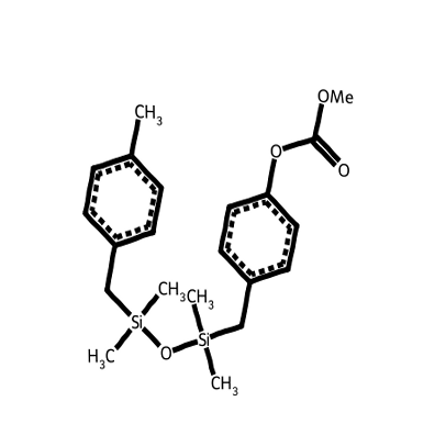 COC(=O)Oc1ccc(C[Si](C)(C)O[Si](C)(C)Cc2ccc(C)cc2)cc1